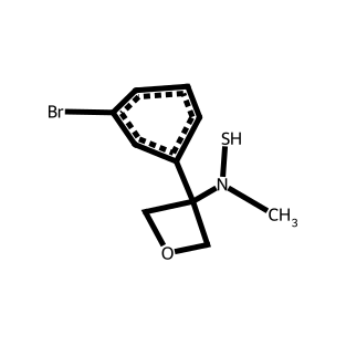 CN(S)C1(c2cccc(Br)c2)COC1